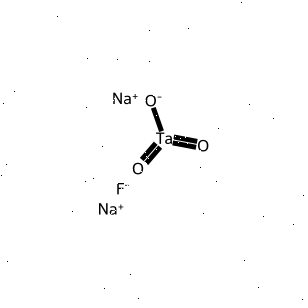 [F-].[Na+].[Na+].[O]=[Ta](=[O])[O-]